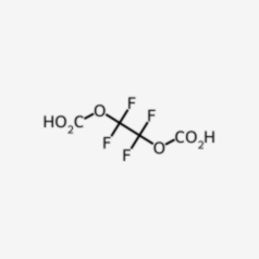 O=C(O)OC(F)(F)C(F)(F)OC(=O)O